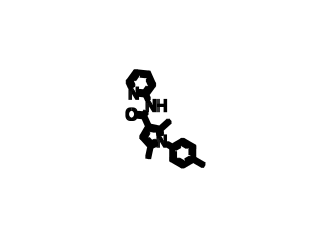 Cc1ccc(-n2c(C)cc(C(=O)Nc3ccccn3)c2C)cc1